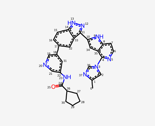 Cc1cn(-c2nccc3[nH]c(-c4n[nH]c5ccc(-c6cncc(NC(=O)C7CCCC7)c6)cc45)cc23)cn1